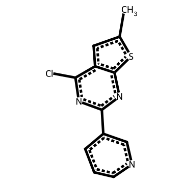 Cc1cc2c(Cl)nc(-c3cccnc3)nc2s1